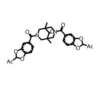 CC(=O)C1Oc2ccc(C(=O)N3CC4(C)CN(C(=O)c5ccc6c(c5)OC(C(C)=O)O6)CC(C)(C3)C4=O)cc2O1